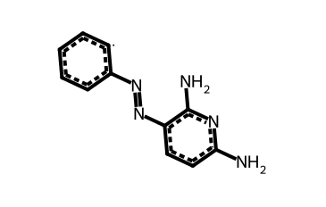 Nc1ccc(N=Nc2[c]cccc2)c(N)n1